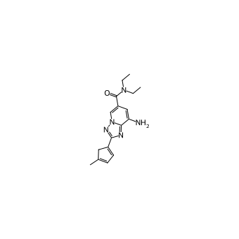 CCN(CC)C(=O)c1cc(N)c2nc(C3=CC=C(C)C3)nn2c1